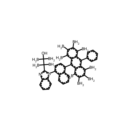 Bc1c(B)c(B)c2c(-c3ccc(-n4c(C(B)(B)C(B)(B)O)nc5ccccc54)c4ccccc34)c3c(B)c(B)c(B)c(B)c3c(-c3ccccc3)c2c1B